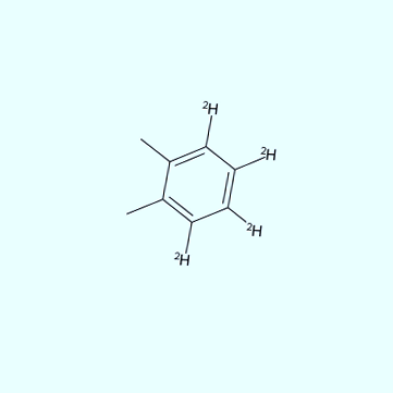 [2H]c1c([2H])c([2H])c(C)c(C)c1[2H]